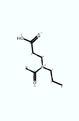 CCCN(CCC(=O)O)C(C)=O